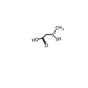 C[S+](S)CC(=O)O